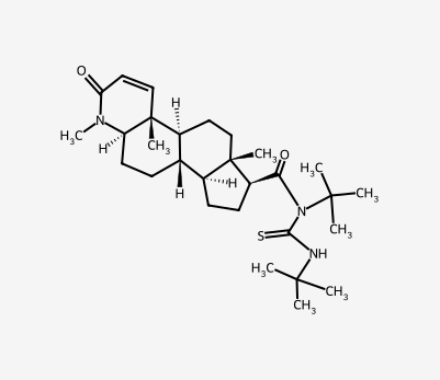 CN1C(=O)C=C[C@]2(C)[C@H]3CC[C@]4(C)[C@@H](C(=O)N(C(=S)NC(C)(C)C)C(C)(C)C)CC[C@H]4[C@@H]3CC[C@@H]12